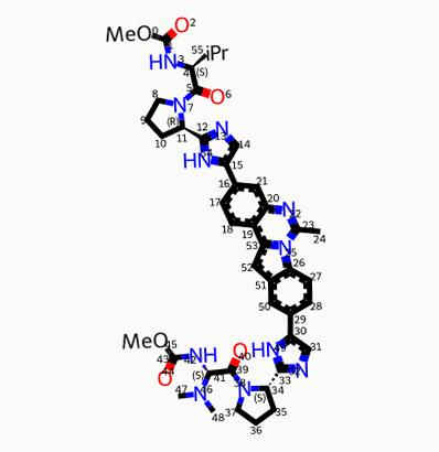 COC(=O)N[C@H](C(=O)N1CCC[C@@H]1c1ncc(-c2ccc3c(c2)nc(C)n2c4ccc(-c5cnc([C@@H]6CCCN6C(=O)[C@@H](NC(=O)OC)N(C)C)[nH]5)cc4cc32)[nH]1)C(C)C